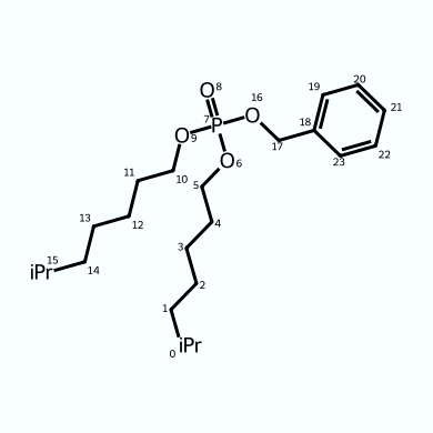 CC(C)CCCCCOP(=O)(OCCCCCC(C)C)OCc1ccccc1